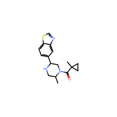 CC1CNC(c2ccc3scnc3c2)CN1C(=O)C1(C)CC1